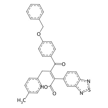 Cc1ccc(C/C(C(=O)c2ccc(OCc3ccccc3)cc2)=C(\C(=O)O)c2ccc3nsnc3c2)cc1